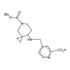 CC(C)(C)OC(=O)N1CCC(NCc2ccnc(C(=O)O)c2)C2(CC2)C1